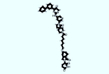 O=C1CCC(N2Cc3cc(OCCCCCCC(=O)N4CCC5(CC4)CCN(c4cncc(Nc6ncc(Cl)c(-c7cccc(-c8ccccc8)c7)n6)c4)C5=O)ccc3C2=O)C(=O)N1